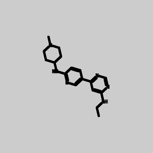 CCNc1cc(-c2ccc(NC3CCN(C)CC3)nc2)ncn1